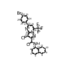 O=C(Nc1cccc2ccccc12)c1nn2c(C(F)(F)F)cc(-c3ccc(Br)cc3)nc2c1Cl